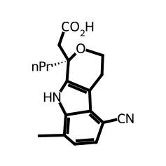 CCC[C@]1(CC(=O)O)OCCc2c1[nH]c1c(C)ccc(C#N)c21